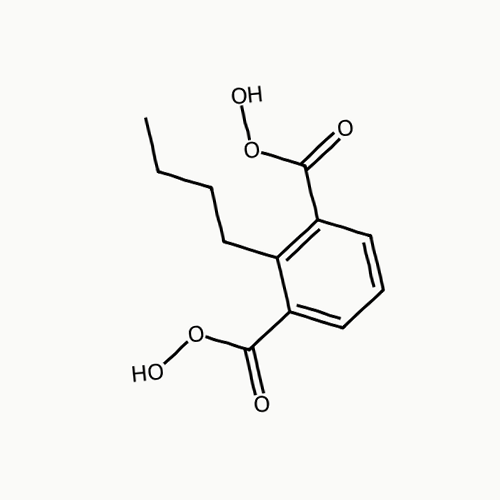 CCCCc1c(C(=O)OO)cccc1C(=O)OO